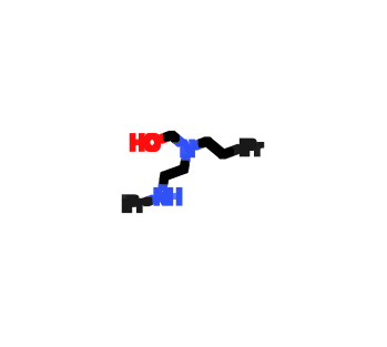 CC(C)CCN(CO)CCNC(C)C